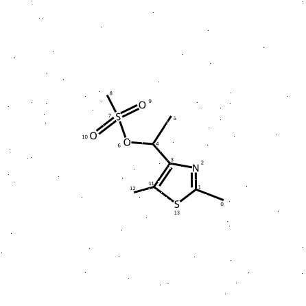 Cc1nc(C(C)OS(C)(=O)=O)c(C)s1